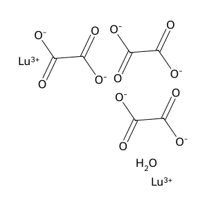 O.O=C([O-])C(=O)[O-].O=C([O-])C(=O)[O-].O=C([O-])C(=O)[O-].[Lu+3].[Lu+3]